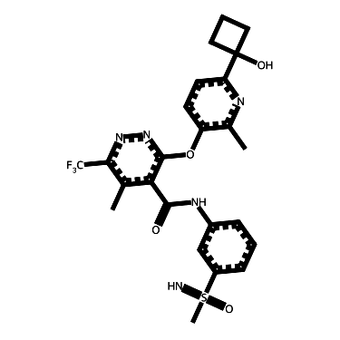 Cc1nc(C2(O)CCC2)ccc1Oc1nnc(C(F)(F)F)c(C)c1C(=O)Nc1cccc(S(C)(=N)=O)c1